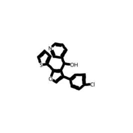 OC(c1cccnc1)c1c(-c2ccc(Cl)cc2)coc1-c1cccs1